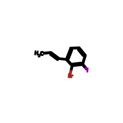 CC=Cc1cccc(I)c1Br